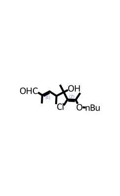 CCCCO/C(C)=C(\Cl)C(C)(O)C(C)/C=C(\C)C=O